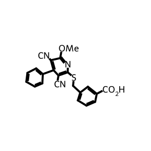 [C-]#[N+]c1c(OC)nc(SCc2cccc(C(=O)O)c2)c(C#N)c1-c1ccccc1